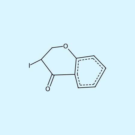 O=C1c2ccccc2OCC1I